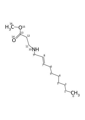 CCCCCCCC=CCNCCC(=O)OC